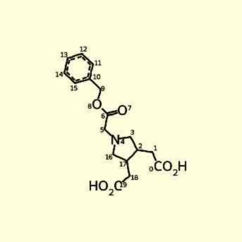 O=C(O)CC1CN(CC(=O)OCc2ccccc2)CC1CC(=O)O